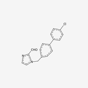 O=Cc1nccn1Cc1ccc(-c2ccc(Cl)cc2)cc1